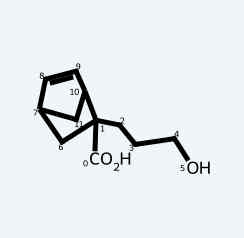 O=C(O)C1(CCCO)CC2C=CC1C2